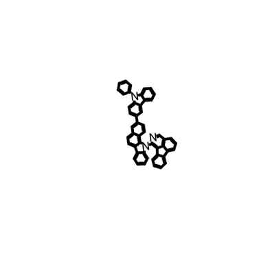 c1ccc(-n2c3ccccc3c3cc(-c4ccc5c(ccc6c7ccccc7n(-c7ncc8cccc9c8c7-c7ccccc7-9)c56)c4)ccc32)cc1